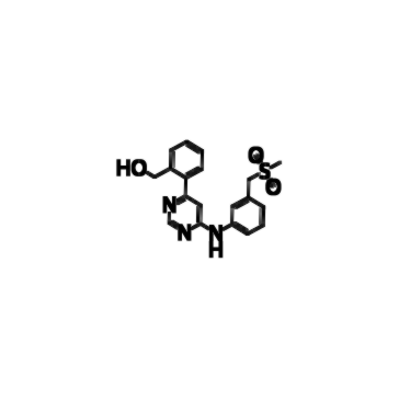 CS(=O)(=O)Cc1cccc(Nc2cc(-c3ccccc3CO)ncn2)c1